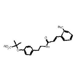 COc1ccccc1/C=C/C(=O)NCCc1ccc(OC(C)(C)C(=O)O)cc1